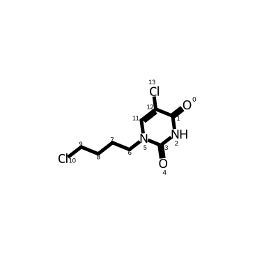 O=c1[nH]c(=O)n(CCCCCl)cc1Cl